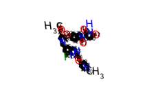 COC[C@@H]1CN(Cc2cc(F)c3nc(COC4CCN(C)CC4)ncc3c2)C[C@H]1Oc1ccc2c(c1)CN([C@H]1CCC(=O)NC1=O)C2=O